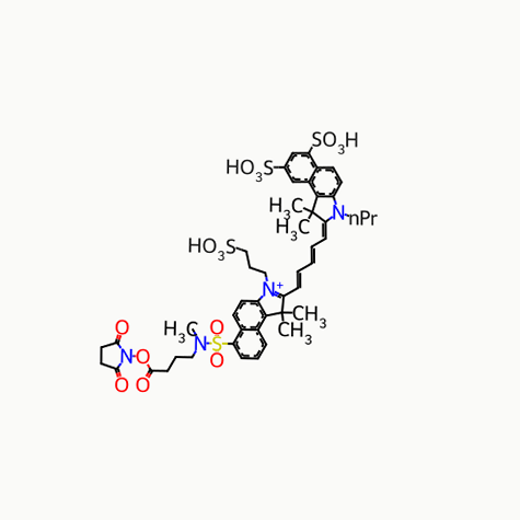 CCCN1/C(=C/C=C/C=C/C2=[N+](CCCS(=O)(=O)O)c3ccc4c(S(=O)(=O)N(C)CCCC(=O)ON5C(=O)CCC5=O)cccc4c3C2(C)C)C(C)(C)c2c1ccc1c(S(=O)(=O)O)cc(S(=O)(=O)O)cc21